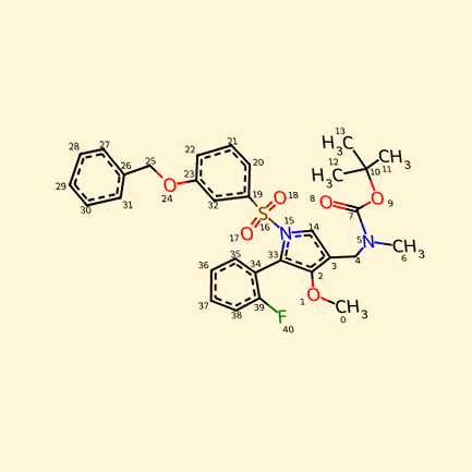 COc1c(CN(C)C(=O)OC(C)(C)C)cn(S(=O)(=O)c2cccc(OCc3ccccc3)c2)c1-c1ccccc1F